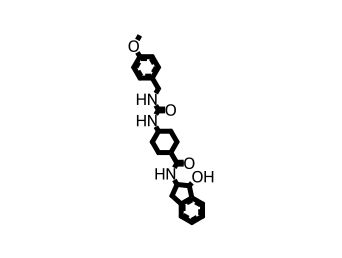 COc1ccc(CNC(=O)NC2CCC(C(=O)NC3Cc4ccccc4C3O)CC2)cc1